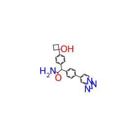 NC(=O)C(c1ccc(-c2ccn3ncnc3c2)cc1)c1ccc(C2(O)CCC2)cc1